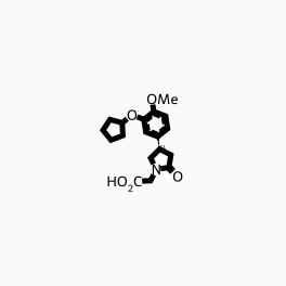 COc1ccc([C@@H]2CC(=O)N(CC(=O)O)C2)cc1OC1CCCC1